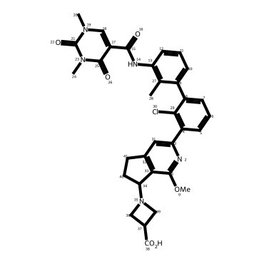 COc1nc(-c2cccc(-c3cccc(NC(=O)c4cn(C)c(=O)n(C)c4=O)c3C)c2Cl)cc2c1C(N1CC(C(=O)O)C1)CC2